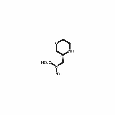 CC(C)(C)N(C[C@H]1COCCN1)C(=O)O